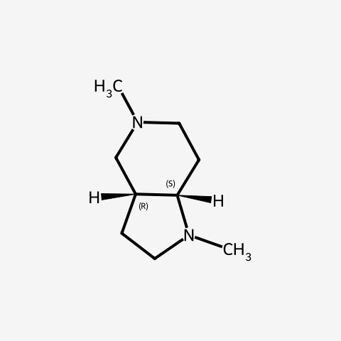 CN1CC[C@H]2[C@H](CCN2C)C1